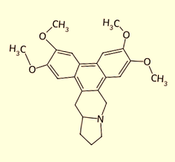 COc1cc2c3c(c4cc(OC)c(OC)cc4c2cc1OC)CN1CCCC1C3